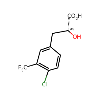 O=C(O)[C@H](O)Cc1ccc(Cl)c(C(F)(F)F)c1